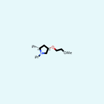 COCCO[C@H]1C[C@@H](C(C)C)N(C(C)C)C1